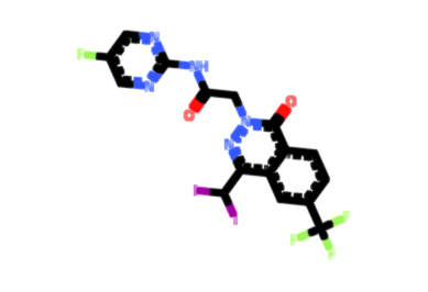 O=C(Cn1nc(C(I)I)c2cc(C(F)(F)F)ccc2c1=O)Nc1ncc(F)cn1